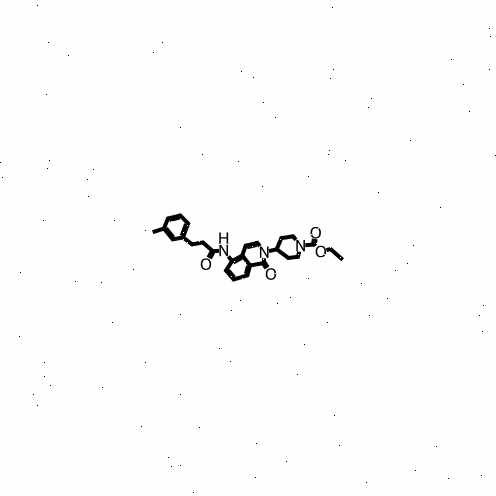 CCOC(=O)N1CCC(n2ccc3c(NC(=O)CCc4cccc(C)c4)cccc3c2=O)CC1